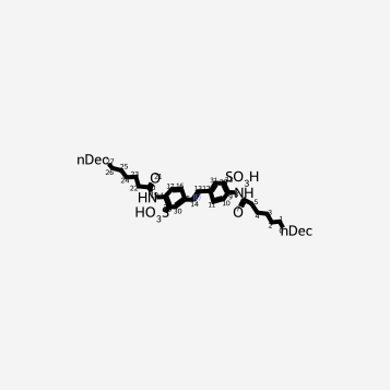 CCCCCCCCCCCCCCCC(=O)Nc1ccc(/C=C/c2ccc(NC(=O)CCCCCCCCCCCCCCC)c(S(=O)(=O)O)c2)cc1S(=O)(=O)O